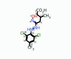 CC(CC(=O)O)CC(=NO)NNc1c(Cl)cc(C(F)(F)F)cc1Cl